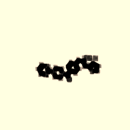 O=C(O)N(Cc1ccc(C(=O)N2CCN(c3ncccn3)CC2)cc1)Cc1cccs1